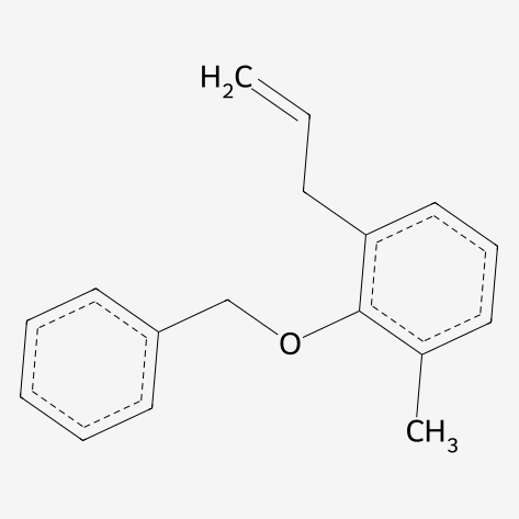 C=CCc1cccc(C)c1OCc1ccccc1